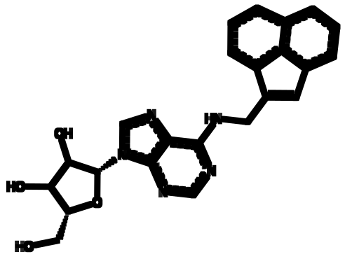 OC[C@H]1O[C@@H](n2cnc3c(NCC4=Cc5cccc6cccc4c56)ncnc32)C(O)C1O